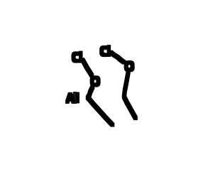 CCOCl.CCOCl.[Al]